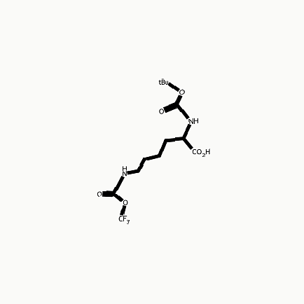 CC(C)(C)OC(=O)NC(CCCCNC(=O)OC(F)(F)F)C(=O)O